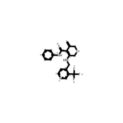 C=C1COCC(NCc2ccncc2C(F)(F)F)=C1C(=S)Nc1ccccc1